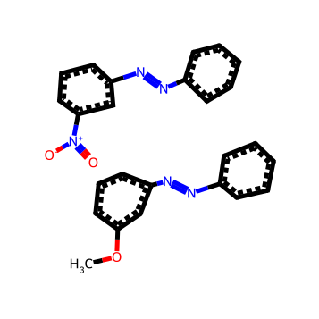 COc1cccc(N=Nc2ccccc2)c1.O=[N+]([O-])c1cccc(N=Nc2ccccc2)c1